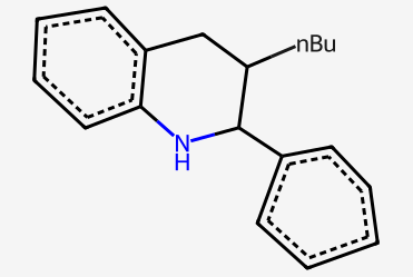 CCCCC1Cc2ccccc2NC1c1ccccc1